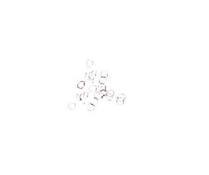 Cc1cc(C)cc(-c2ccc3c(c2)c2cc(-c4cc(C)cc(C)c4)ccc2n3-c2cccc(-c3nc(-c4ccccc4)nc(-c4ccccc4)n3)c2-c2cccc(-c3c(-c4nc(-c5ccccc5)nc(-c5ccccc5)n4)cccc3-n3c4ccc(-c5cc(C)cc(C)c5)cc4c4cc(-c5cc(C)cc(C)c5)ccc43)c2)c1